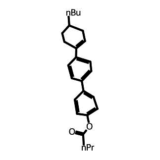 CCCCC1CC=C(c2ccc(-c3ccc(OC(=O)CCC)cc3)cc2)CC1